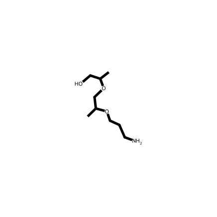 CC(CO)OCC(C)OCCCN